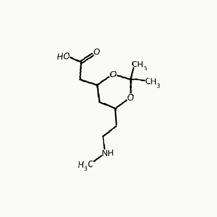 CNCCC1CC(CC(=O)O)OC(C)(C)O1